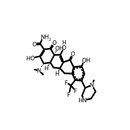 CN1CCNCC1c1cc(O)c2c(c1C(F)(F)F)C[C@H]1C[C@H]3[C@H](N(C)C)C(O)=C(C(N)=O)C(=O)[C@@]3(O)C(O)=C1C2=O